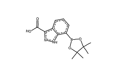 CC1(C)OB(c2cccc3c(C(=O)O)n[nH]c23)OC1(C)C